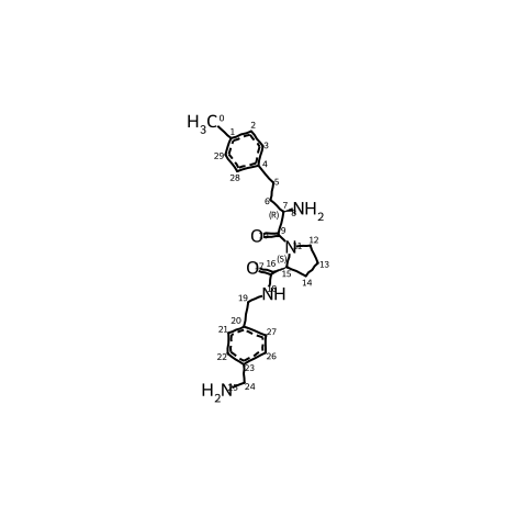 Cc1ccc(CC[C@@H](N)C(=O)N2CCC[C@H]2C(=O)NCc2ccc(CN)cc2)cc1